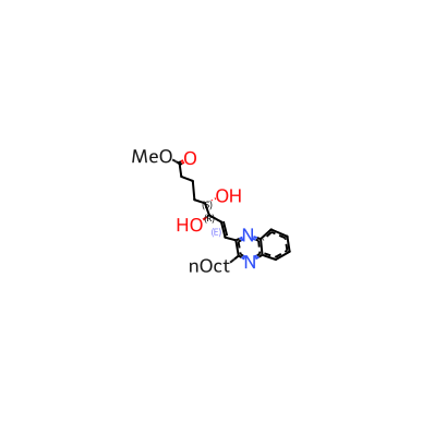 CCCCCCCCc1nc2ccccc2nc1/C=C/[C@@H](O)[C@@H](O)CCCC(=O)OC